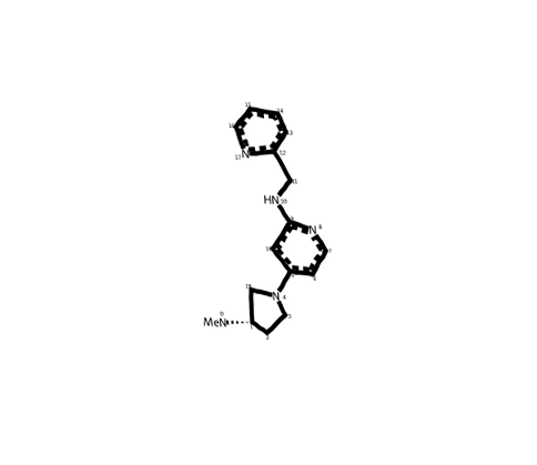 CN[C@H]1CCN(c2ccnc(NCc3ccccn3)c2)C1